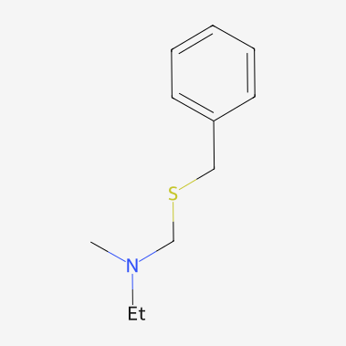 CCN(C)CSCc1ccccc1